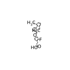 CCc1cccc(CC)c1-c1cccc(COc2ccc(CCC(=O)O)c(F)c2)c1